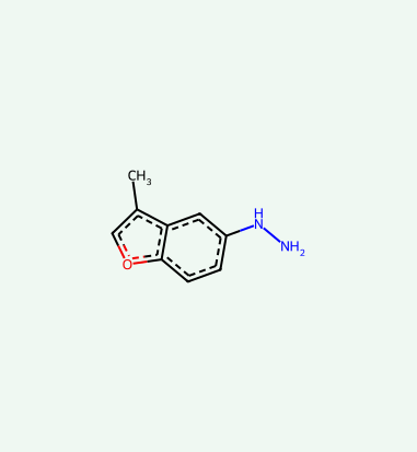 Cc1coc2ccc(NN)cc12